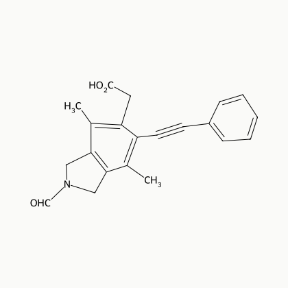 Cc1c(C#Cc2ccccc2)c(CC(=O)O)c(C)c2c1CN(C=O)C2